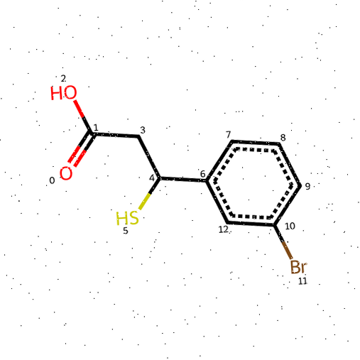 O=C(O)CC(S)c1cccc(Br)c1